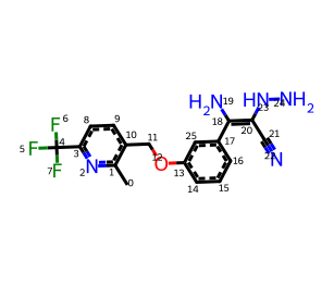 Cc1nc(C(F)(F)F)ccc1COc1cccc(/C(N)=C(\C#N)NN)c1